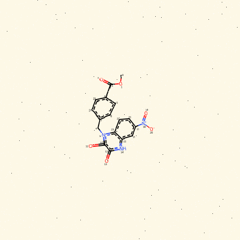 COC(=O)c1ccc(Cn2c(=O)c(=O)[nH]c3cc([N+](=O)[O-])ccc32)cc1